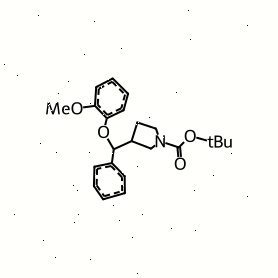 COc1ccccc1OC(c1ccccc1)C1CCN(C(=O)OC(C)(C)C)C1